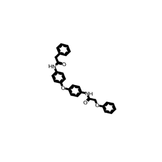 O=C(COc1ccccc1)Nc1ccc(Oc2ccc(NC(=O)Cc3ccccc3)cc2)cc1